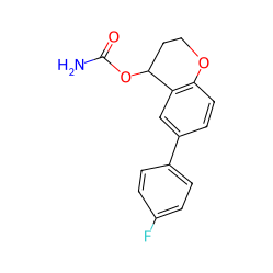 NC(=O)OC1CCOc2ccc(-c3ccc(F)cc3)cc21